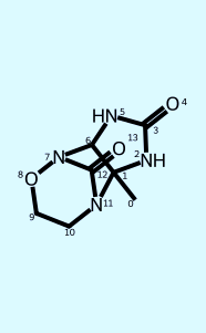 CC12NC(=O)NC1N1OCCN2C1=O